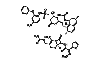 CC[C@H](C)C(=O)O[C@H]1C[C@@H](C)C=C2C=C[C@H](C)[C@H](CC[C@@H]3C[C@@H](O)CC(=O)O3)[C@H]21.CO/N=C(\C(=O)N[C@@H]1C(=O)N2C(C(=O)O)=C(COC(N)=O)CS[C@H]12)c1ccco1.CS(=O)(=O)Nc1ccc([N+](=O)[O-])cc1Oc1ccccc1